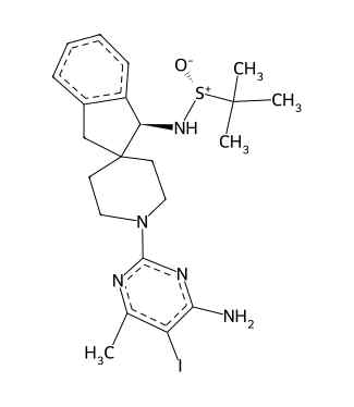 Cc1nc(N2CCC3(CC2)Cc2ccccc2[C@H]3N[S@+]([O-])C(C)(C)C)nc(N)c1I